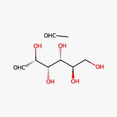 CC=O.O=C[C@H](O)[C@@H](O)[C@H](O)[C@H](O)CO